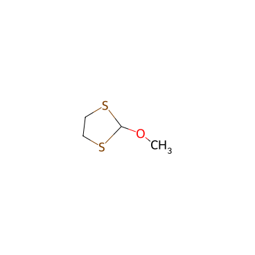 COC1SCCS1